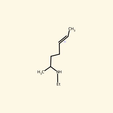 C/C=C/CCC(C)NCC